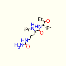 CCC(=O)[C@@H](NC(=O)[C@H](CCCNC(N)=O)NC(C)C)C(C)C